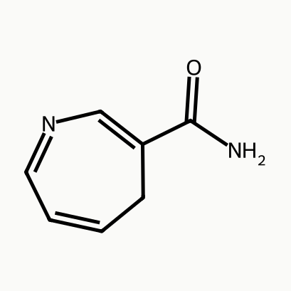 NC(=O)C1=CN=CC=CC1